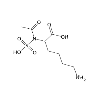 CC(=O)N(C(CCCCN)C(=O)O)S(=O)(=O)O